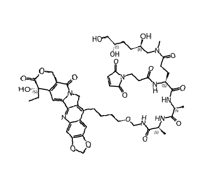 CC[C@@]1(O)C(=O)OCc2c1cc1n(c2=O)Cc2c-1nc1cc3c(cc1c2CCCCOCNC(=O)[C@H](C)NC(=O)[C@H](C)NC(=O)[C@H](CCC(=O)N(C)C[C@H](O)CC[C@H](O)CO)NC(=O)CCN1C(=O)C=CC1=O)OCO3